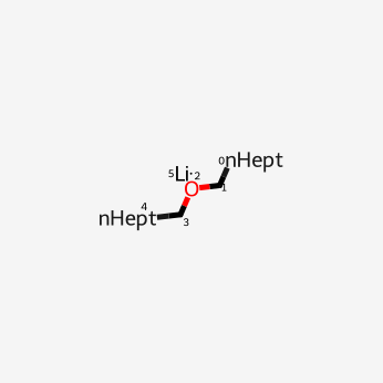 CCCCCCCCOCCCCCCCC.[Li]